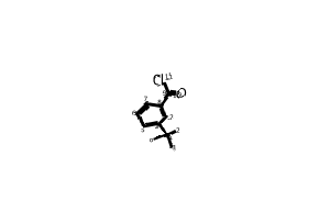 CC(C)(C)c1cccc(C(=O)Cl)c1